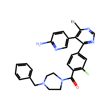 CCc1ncnc(-c2ccc(C(=O)N3CCN(Cc4ccccc4)CC3)c(F)c2)c1-c1ccc(N)nc1